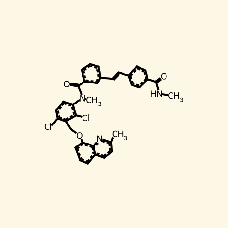 CNC(=O)c1ccc(/C=C/c2cccc(C(=O)N(C)c3ccc(Cl)c(COc4cccc5ccc(C)nc45)c3Cl)c2)cc1